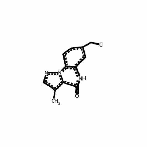 Cc1cnn2c1c(=O)[nH]c1cc(CCl)ccc12